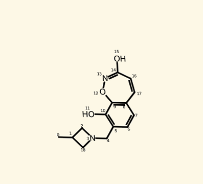 CC1CN(Cc2ccc3c(c2O)ON=C(O)C=C3)C1